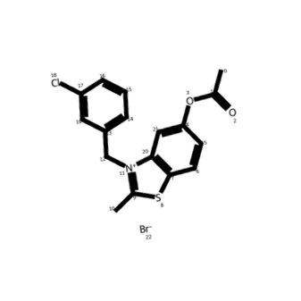 CC(=O)Oc1ccc2sc(C)[n+](Cc3cccc(Cl)c3)c2c1.[Br-]